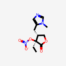 CC[C@@]1(O[N+](=O)[O-])C(=O)OC[C@H]1Cc1cncn1C